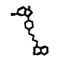 Oc1ccc2[nH]cc(C3CCN(CCCCN4N=NC=C5CC=CC=C54)CC3)c2c1